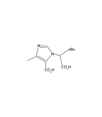 CCCCC(C(=O)O)n1cnc(C)c1C(=O)O